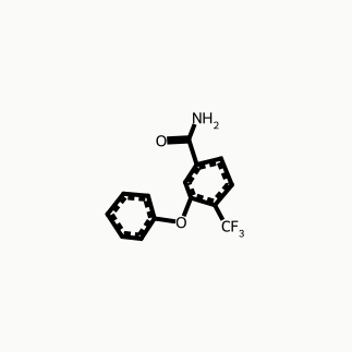 NC(=O)c1ccc(C(F)(F)F)c(Oc2ccccc2)c1